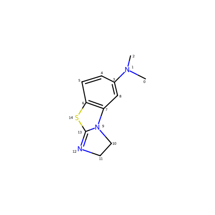 CN(C)c1ccc2c(c1)N1CCN=C1S2